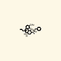 C=CCN1CC[C@]23c4c5ccc(OC(C)=O)c4OC2C(N(C)S(=O)(=O)Cc2ccccc2)CC[C@@]3(O)[C@H]1C5